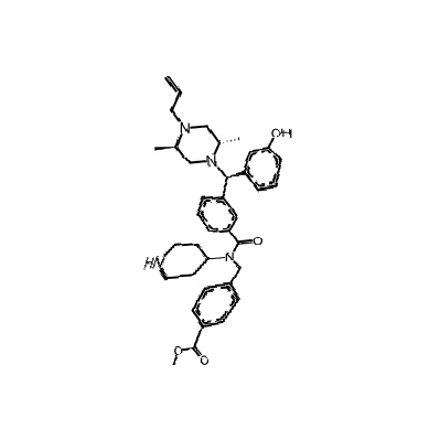 C=CCN1C[C@H](C)N([C@@H](c2cccc(O)c2)c2cccc(C(=O)N(Cc3ccc(C(=O)OC)cc3)C3CCNCC3)c2)C[C@H]1C